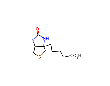 O=C(O)CCCCC12CSCC1NC(=O)N2